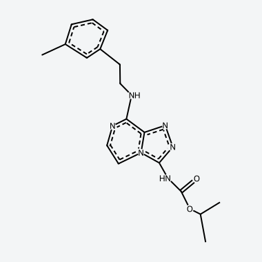 Cc1cccc(CCNc2nccn3c(NC(=O)OC(C)C)nnc23)c1